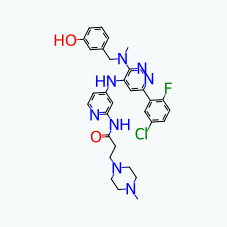 CN1CCN(CCC(=O)Nc2cc(Nc3cc(-c4cc(Cl)ccc4F)nnc3N(C)Cc3cccc(O)c3)ccn2)CC1